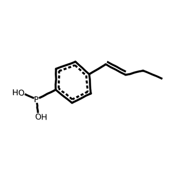 CC/C=C/c1ccc(P(O)O)cc1